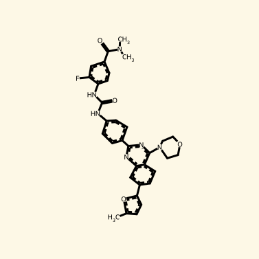 Cc1ccc(-c2ccc3c(N4CCOCC4)nc(-c4ccc(NC(=O)Nc5ccc(C(=O)N(C)C)cc5F)cc4)nc3c2)o1